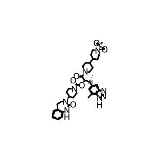 Cc1cc([C@@H](C)C(OC(=O)N2CCC(N3CCc4ccccc4NC3=O)CC2)C(=O)N2CCC(C3CCN(S(C)(=O)=O)CC3)CC2)cc2nn[nH]c12